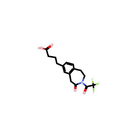 O=C(O)CCCc1ccc2c(c1)CC(=O)N(C(=O)C(F)(F)F)CC2